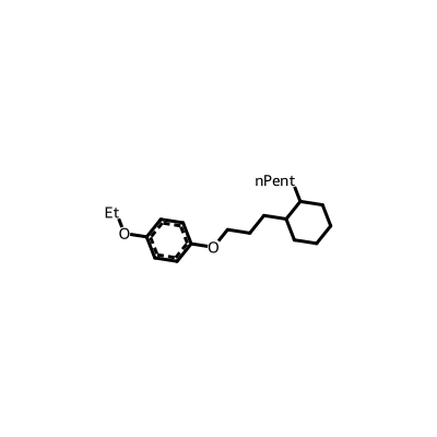 CCCCCC1CCCCC1CCCOc1ccc(OCC)cc1